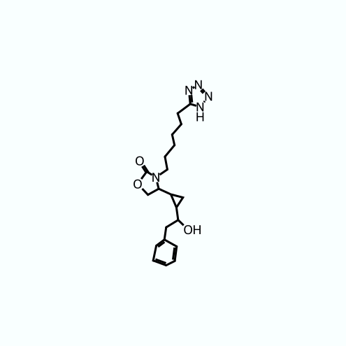 O=C1OCC(C2CC2C(O)Cc2ccccc2)N1CCCCCCc1nnn[nH]1